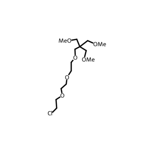 COCC(COC)(COC)COCCOCCOCCCl